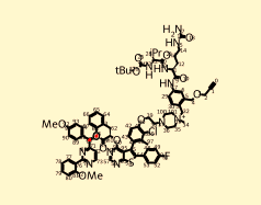 C#CCOCc1cc(NC(=O)[C@H](CCCNC(N)=O)NC(=O)[C@@H](NC(=O)OC(C)(C)C)C(C)C)ccc1C[N+]1(C)CCN(CCOc2ccc(-c3c(-c4ccc(F)cc4)sc4ncnc(O[C@H](Cc5ccccc5OCc5ccnc(-c6ccccc6OC)n5)C(=O)OCc5ccc(OC)cc5)c34)c(C)c2Cl)CC1